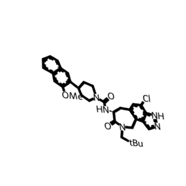 COc1cc2ccccc2cc1C1CCN(C(=O)N[C@@H]2Cc3cc(Cl)c4[nH]ncc4c3CN(CC(C)(C)C)C2=O)CC1